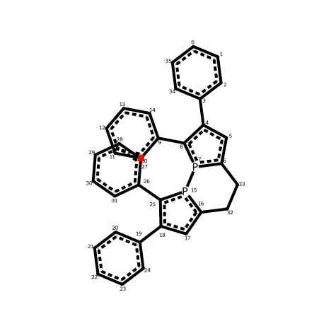 c1ccc(-c2cc3p(c2-c2ccccc2)-p2c(cc(-c4ccccc4)c2-c2ccccc2)CC3)cc1